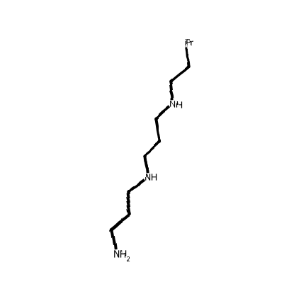 CC(C)CCNCCCNCCCN